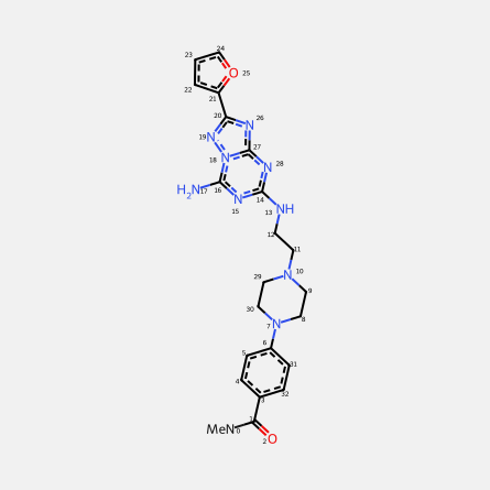 CNC(=O)c1ccc(N2CCN(CCNc3nc(N)n4nc(-c5ccco5)nc4n3)CC2)cc1